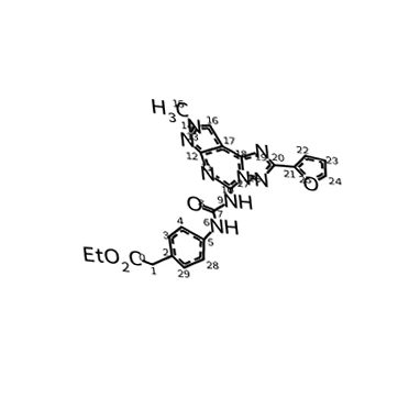 CCOC(=O)Cc1ccc(NC(=O)Nc2nc3nn(C)cc3c3nc(-c4ccco4)nn23)cc1